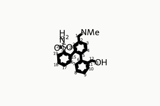 CNCc1ccc(-c2ccccc2CO)c(-c2ccccc2S(N)(=O)=O)c1